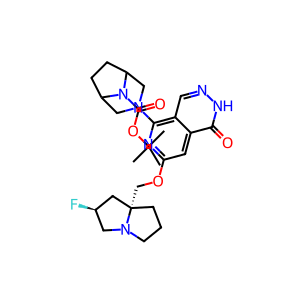 CC(C)(C)OC(=O)N1C2CCC1CN(c1nc(OC[C@]34CCCN3C[C@@H](F)C4)cc3c(=O)[nH]ncc13)C2